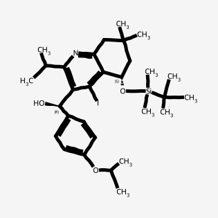 CC(C)Oc1ccc([C@@H](O)c2c(C(C)C)nc3c(c2I)[C@@H](O[Si](C)(C)C(C)(C)C)CC(C)(C)C3)cc1